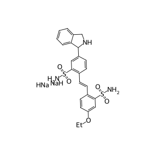 CCOc1ccc(/C=C/c2ccc(C3NCc4ccccc43)cc2S(N)(=O)=O)c(S(N)(=O)=O)c1.[NaH].[NaH]